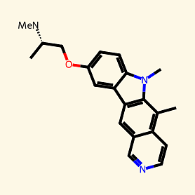 CN[C@@H](C)COc1ccc2c(c1)c1cc3cnccc3c(C)c1n2C